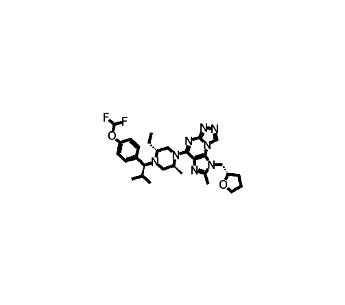 CC[C@@H]1CN(c2nc3nncn3c3c2nc(C)n3C[C@@H]2CCCO2)[C@@H](C)CN1[C@H](c1ccc(OC(F)F)cc1)C(C)C